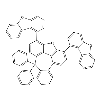 c1ccc(C2(c3ccccc3)c3ccccc3-c3ccc(-c4cccc5oc6ccccc6c45)c4oc5c(-c6cccc7oc8ccccc8c67)ccc2c5c34)cc1